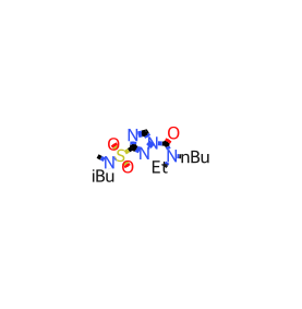 CCCCN(CC)C(=O)n1cnc(S(=O)(=O)N(C)C(C)CC)n1